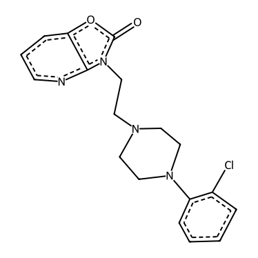 O=c1oc2cccnc2n1CCN1CCN(c2ccccc2Cl)CC1